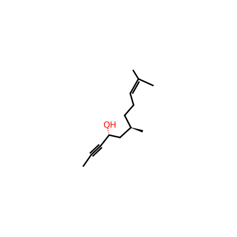 CC#C[C@H](O)C[C@H](C)CCC=C(C)C